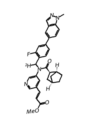 [2H]C(c1ccc(-c2ccc3c(cnn3C)c2)cc1F)N(C(=O)[C@@H]1C[C@@H]2CC[C@H]1C2)c1cncc(/C=C/C(=O)OC)c1